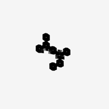 c1ccc(-c2cccc(-c3nc(-c4ccccc4)nc(-c4ccc(-c5cc(-c6ccccc6)cc(-c6ccccn6)n5)nc4)n3)c2)cc1